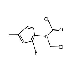 Cc1ccc(N(CCl)C(=O)Cl)c(F)c1